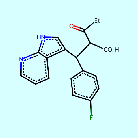 CCC(=O)C(C(=O)O)C(c1ccc(F)cc1)c1c[nH]c2ncccc12